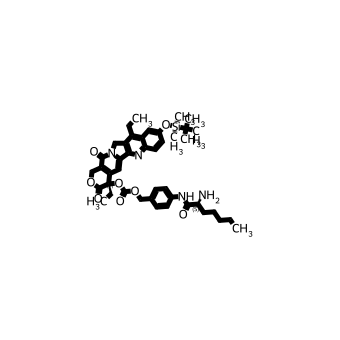 CCCCC[C@H](N)C(=O)Nc1ccc(COC(=O)O[C@]2(CC)C(=O)OCc3c2cc2n(c3=O)Cc3c-2nc2ccc(O[Si](C)(C)C(C)(C)C)cc2c3CC)cc1